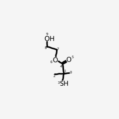 CC(C)(S)C(=O)OCCO